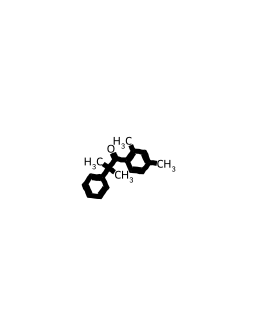 Cc1ccc(C(=O)C(C)(C)c2ccccc2)c(C)c1